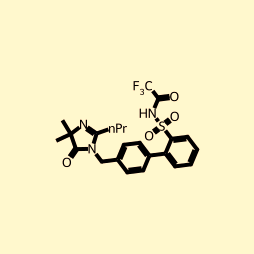 CCCC1=NC(C)(C)C(=O)N1Cc1ccc(-c2ccccc2S(=O)(=O)NC(=O)C(F)(F)F)cc1